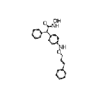 O=C(NO)C(c1ccccc1)c1ccc(NOCC=Cc2ccccc2)cc1